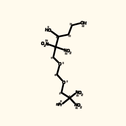 CCCC(COCOCC(C(O)CCO)([N+](=O)[O-])[N+](=O)[O-])([N+](=O)[O-])[N+](=O)[O-]